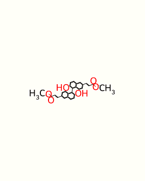 CCOC(=O)C=Cc1ccc2c(-c3c(O)ccc4cc(C=CC(=O)OCC)ccc34)c(O)ccc2c1